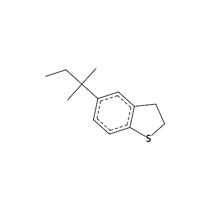 CCC(C)(C)c1ccc2c(c1)CCS2